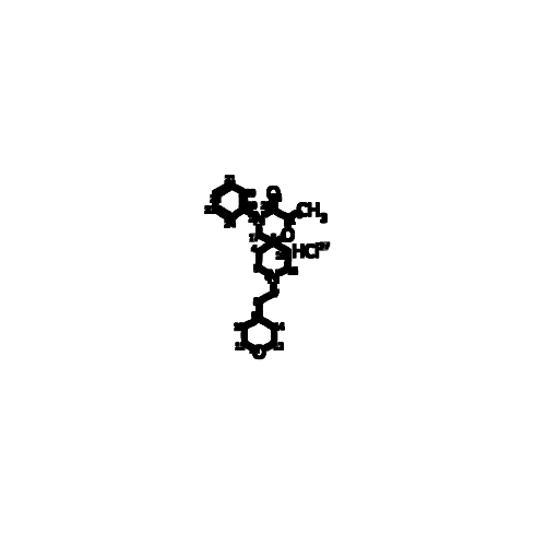 CC1OC2(CCN(CCC3CCOCC3)CC2)CN(c2ccccc2)C1=O.Cl